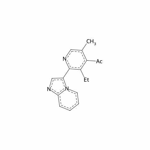 CCc1c(-c2cnc3ccccn23)ncc(C)c1C(C)=O